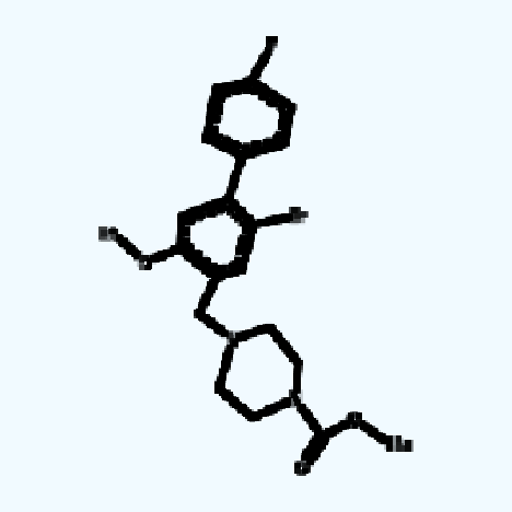 CCOc1cc(-c2ccc(F)cc2)c(Br)cc1CN1CCN(C(=O)OC(C)(C)C)CC1